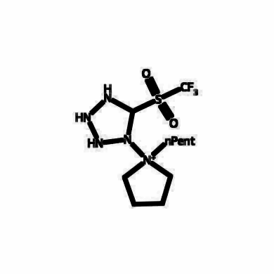 CCCCC[N+]1(N2NNNC2S(=O)(=O)C(F)(F)F)CCCC1